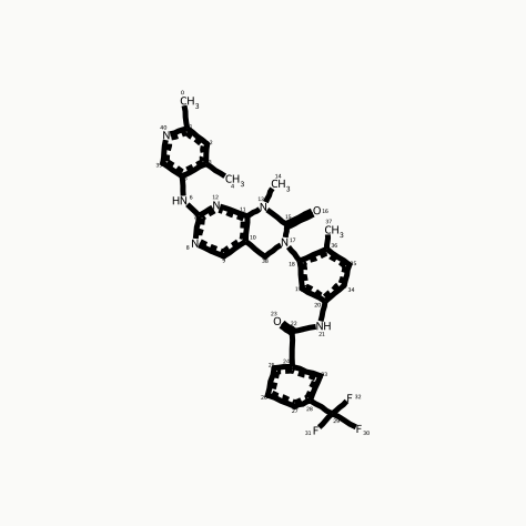 Cc1cc(C)c(Nc2ncc3c(n2)N(C)C(=O)N(c2cc(NC(=O)c4cccc(C(F)(F)F)c4)ccc2C)C3)cn1